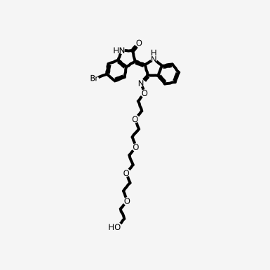 O=C1Nc2cc(Br)ccc2/C1=C1/Nc2ccccc2/C1=N\OCCOCCOCCOCCOCCO